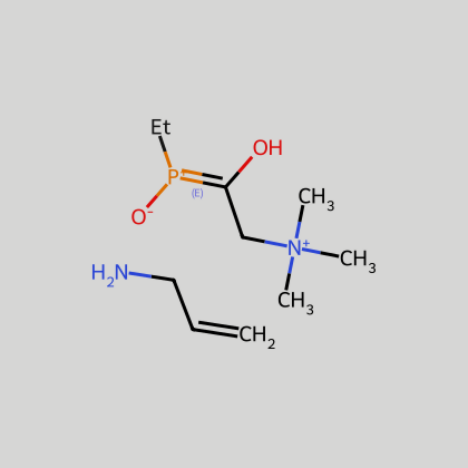 C=CCN.CC/[P+]([O-])=C(\O)C[N+](C)(C)C